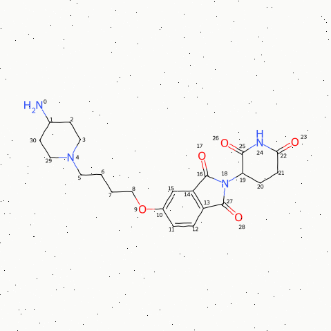 NC1CCN(CCCCOc2ccc3c(c2)C(=O)N(C2CCC(=O)NC2=O)C3=O)CC1